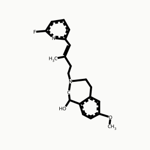 COc1ccc2c(c1)CCN(CC/C(C)=C/c1cccc(F)n1)CC2O